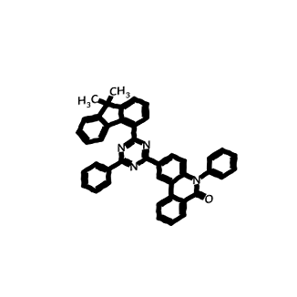 CC1(C)c2ccccc2-c2c(-c3nc(-c4ccccc4)nc(-c4ccc5c(c4)c4ccccc4c(=O)n5-c4ccccc4)n3)cccc21